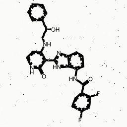 O=C(Nc1cccc2nc(-c3c(NC[C@H](O)c4ccccc4)cc[nH]c3=O)[nH]c12)c1ccc(F)cc1F